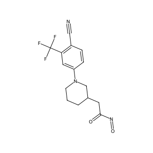 N#Cc1ccc(N2CCCC(CC(=O)N=O)C2)cc1C(F)(F)F